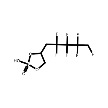 O=P1(O)OCC(CC(F)(F)C(F)(F)C(F)(F)CF)O1